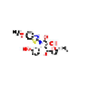 COc1ccc2nc(N3C(=O)C(O)=C(C(=O)c4ccc(C)o4)C3c3cccc(O)c3)sc2c1